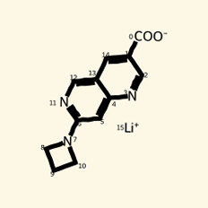 O=C([O-])c1cnc2cc(N3CCC3)ncc2c1.[Li+]